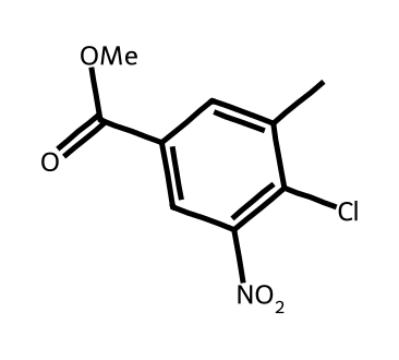 COC(=O)c1cc(C)c(Cl)c([N+](=O)[O-])c1